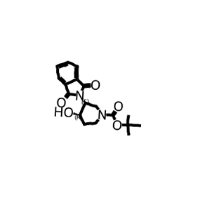 CC(C)(C)OC(=O)N1CC[C@@H](O)[C@@H](N2C(=O)c3ccccc3C2=O)C1